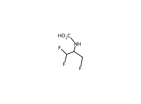 O=C(O)NC(CF)C(F)F